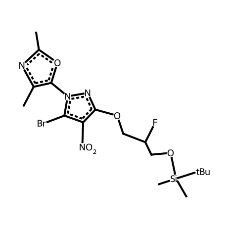 Cc1nc(C)c(-n2nc(OCC(F)CO[Si](C)(C)C(C)(C)C)c([N+](=O)[O-])c2Br)o1